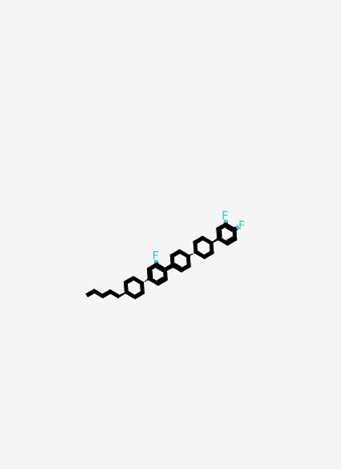 CCCCC[C@H]1CC[C@H](c2ccc(C3=CCC([C@H]4CC[C@H](c5ccc(F)c(F)c5)CC4)CC3)c(F)c2)CC1